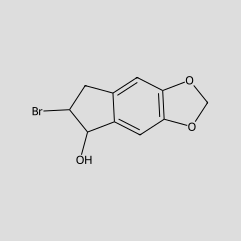 OC1c2cc3c(cc2CC1Br)OCO3